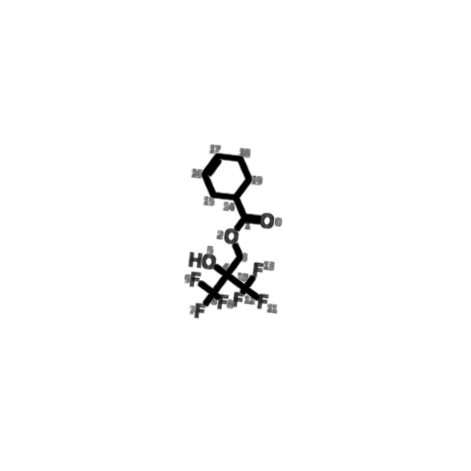 O=C(OCC(O)(C(F)(F)F)C(F)(F)F)C1CC=CCC1